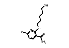 NC(=O)c1cnc(Cl)nc1NCCCCCO